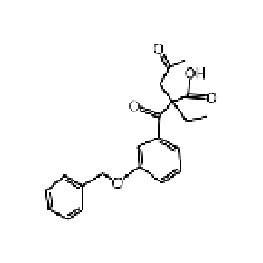 CCC(CC(C)=O)(C(=O)O)C(=O)c1cccc(OCc2ccccc2)c1